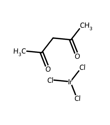 CC(=O)CC(C)=O.[Cl][Ir]([Cl])[Cl]